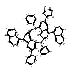 c1ccc(-n2c3cc(-c4cccc5ccccc45)c4cc(-c5cccnc5)cc(c4c3)n(-c3cccnc3)c3cc(-c4cccc5ccccc45)c4cc(-c5cccnc5)cc2c4c3)cc1